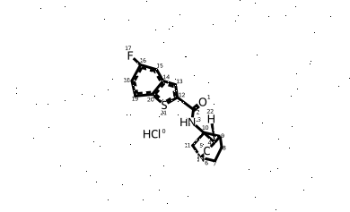 Cl.O=C(N[C@H]1CN2CCC1CC2)c1cc2cc(F)ccc2s1